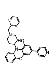 Oc1cc(-c2ccncc2)cc2c1N(C1CCN(Cc3ccccn3)CC1)c1ccccc1O2